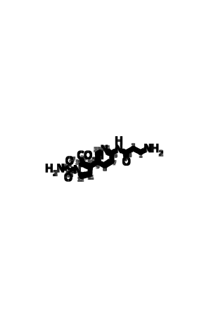 NCCC(=O)Nc1ccc(-c2ccn(S(N)(=O)=O)c2C(=O)O)cn1